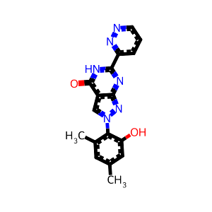 Cc1cc(C)c(-n2cc3c(=O)[nH]c(-c4cccnn4)nc3n2)c(O)c1